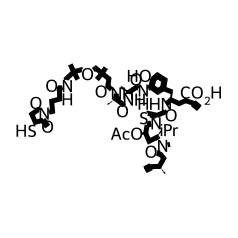 C#C[C@@H](C)CC(=O)N(C)[C@H](C[C@@H](OC(C)=O)c1nc(C(=O)N[C@@H](Cc2ccc(O)c(NC(=O)[C@H](C)NC(=O)[C@H](C)NC(=O)CC(C)(C)COCC(C)(C)CNC(=O)CCCN3C(=O)C[C@@H](S)C3=O)c2)C[C@H](C#C)C(=O)O)cs1)C(C)C